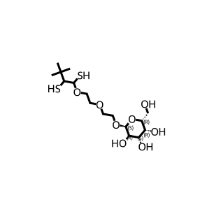 CC(C)(C)C(S)C(S)OCCOCCO[C@H]1O[C@H](CO)[C@H](O)[C@H](O)[C@H]1O